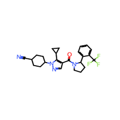 N#CC1CCC(n2ncc(C(=O)N3CCCC3c3ccccc3C(F)(F)F)c2C2CC2)CC1